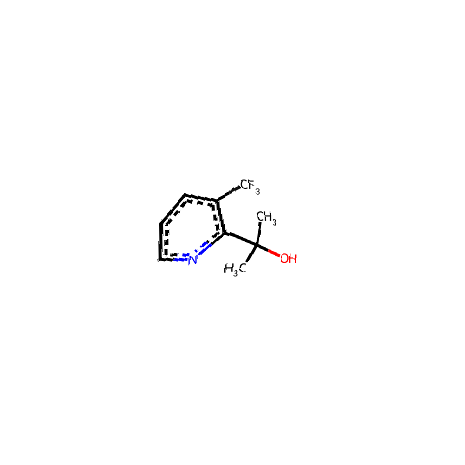 CC(C)(O)c1ncccc1C(F)(F)F